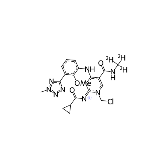 [2H]C([2H])([2H])NC(=O)c1cn(CCl)/c(=N/C(=O)C2CC2)cc1Nc1cccc(-c2nnn(C)n2)c1OC